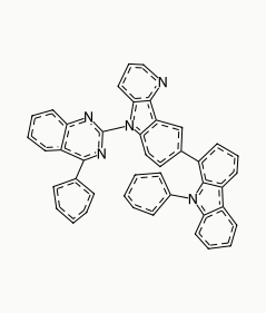 c1ccc(-c2nc(-n3c4ccc(-c5cccc6c7ccccc7n(-c7ccccc7)c56)cc4c4ncccc43)nc3ccccc23)cc1